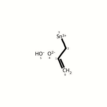 C=C[CH2][Sn+3].[O-2].[OH-]